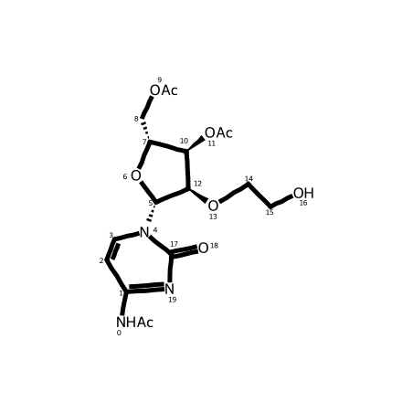 CC(=O)Nc1ccn([C@@H]2O[C@H](COC(C)=O)[C@@H](OC(C)=O)[C@H]2OCCO)c(=O)n1